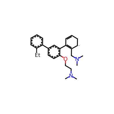 CCc1ccccc1-c1ccc(OCCN(C)C)c(C2=C(CN(C)C)[CH]CC=C2)c1